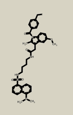 COc1ccc2c(c1)c(CC(=O)NCCCCNS(=O)(=O)c1cccc3c(N(C)C)cccc13)c(C)n2C(=O)c1ccc(CI)cc1